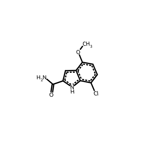 COc1ccc(Cl)c2[nH]c(C(N)=O)cc12